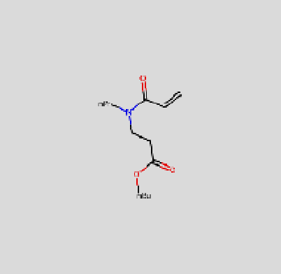 C=CC(=O)N(CCC)CCC(=O)OCCCC